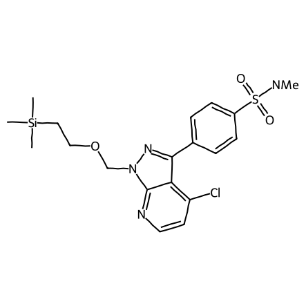 CNS(=O)(=O)c1ccc(-c2nn(COCC[Si](C)(C)C)c3nccc(Cl)c23)cc1